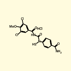 COc1c(Cl)cc(C(=O)NC(=O)N(S)c2ccc(C(N)=O)cc2)cc1Cl.Cl